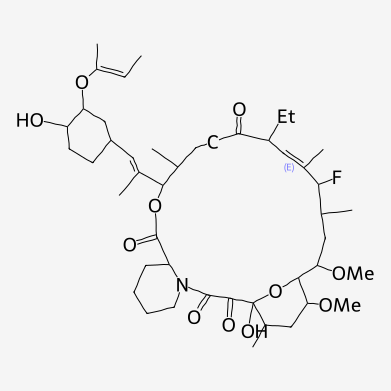 CC=C(C)OC1CC(C=C(C)C2OC(=O)C3CCCCN3C(=O)C(=O)C3(O)OC(C(OC)CC(C)C(F)/C(C)=C/C(CC)C(=O)CCC2C)C(OC)CC3C)CCC1O